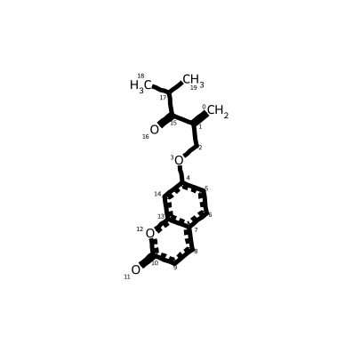 C=C(COc1ccc2ccc(=O)oc2c1)C(=O)C(C)C